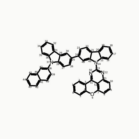 c1ccc2c(c1)Oc1cccc3nc(-n4c5ccccc5c5ccc(-c6ccc7c(c6)c6ccccc6n7-c6ccc7ccccc7c6)cc54)nc-2c13